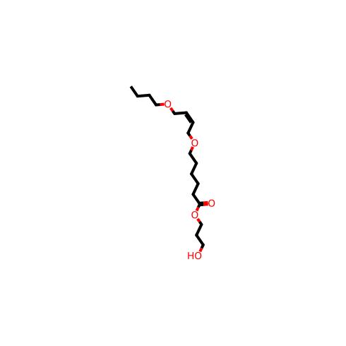 CCCCOC/C=C\COCCCCCC(=O)OCCCO